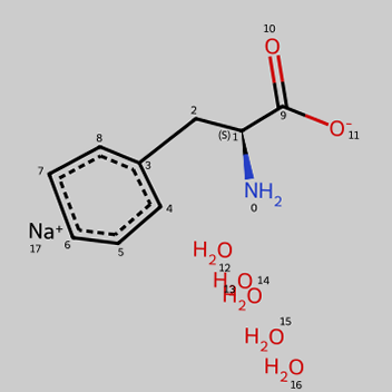 N[C@@H](Cc1ccccc1)C(=O)[O-].O.O.O.O.O.[Na+]